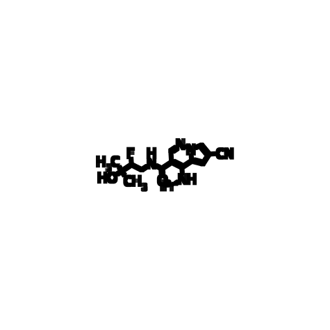 CC(C)Nc1c(C(=O)NCC(F)C(C)(C)O)cnn2cc(C#N)cc12